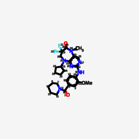 COc1cc(C(=O)N2CCCCC2)ccc1Nc1ncc2c(n1)N(C1CCCC1)CC(F)(F)C(=O)N2C